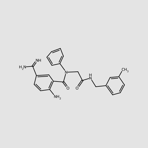 Cc1cccc(CNC(=O)CN(C(=O)c2cc(C(=N)N)ccc2N)c2ccccc2)c1